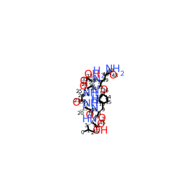 CC(C)C[C@H](NC(=O)[C@H](Cc1ccccc1)NC(=O)[C@H](C)NC(=O)[C@H](C)NC(=O)[C@H](CC(=O)O)NC(=O)[C@@H](N)CCC(N)=O)C(=O)O